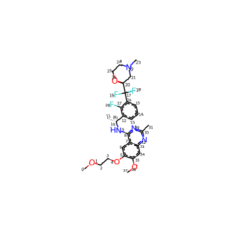 COCCOc1cc2c(N[C@H](C)c3cccc(C(F)(F)C4CN(C)CCO4)c3F)nc(C)nc2cc1OC